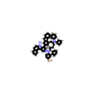 Sc1ccc(N/C=C2\Bc3c(-c4cccc5c4[nH]c4ccc6ccccc6c45)cc4c(c3/C=C(/N(c3ccccc3)c3ccccc3)CC2)-c2ccccc2C4)c(-c2ccccc2)c1